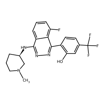 CN1CCC[C@@H](Nc2nnc(-c3ccc(C(F)(F)F)cc3O)c3c(F)cccc23)C1